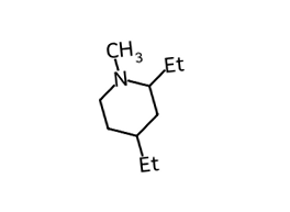 CCC1CCN(C)C(CC)C1